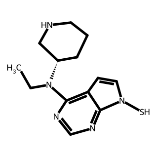 CCN(c1ncnc2c1ccn2S)[C@H]1CCCNC1